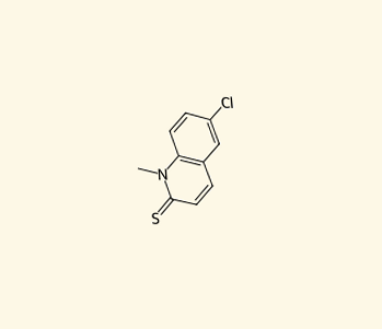 Cn1c(=S)ccc2cc(Cl)ccc21